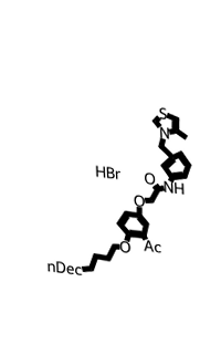 Br.CCCCCCCCCCCCCCOc1ccc(OCC(=O)Nc2cccc(CN3CSC=C3C)c2)cc1C(C)=O